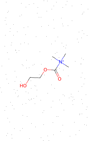 C[N+](C)(C)C(=O)OCCO